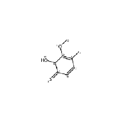 COC1=C(C)C=[C]C(=S)C1O